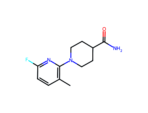 Cc1ccc(F)nc1N1CCC(C(N)=O)CC1